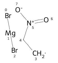 [Br][Mg][Br].[CH2]C[N+](=O)[O-]